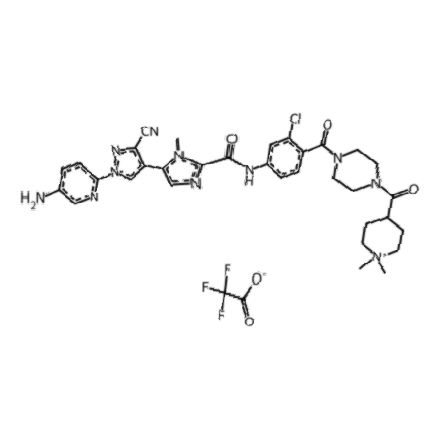 Cn1c(-c2cn(-c3ccc(N)cn3)nc2C#N)cnc1C(=O)Nc1ccc(C(=O)N2CCN(C(=O)C3CC[N+](C)(C)CC3)CC2)c(Cl)c1.O=C([O-])C(F)(F)F